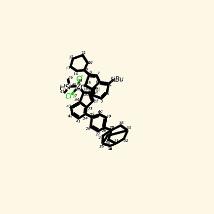 CCC(C)c1cccc2c1C=C(C1CCCCC1)[CH]2[Zr]([Cl])([Cl])([CH]1C(C)=Cc2c(-c3ccc(C45CC6CC(CC(C6)C4)C5)cc3)cccc21)[SiH](C)C